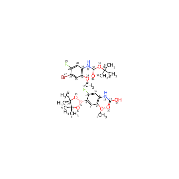 COc1cc(B2OC(C)(C)C(C)(C)O2)c(F)cc1NC(=O)O.COc1cc(Br)c(F)cc1NC(=O)OC(C)(C)C